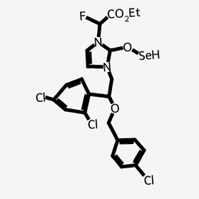 CCOC(=O)C(F)N1C=CN(CC(OCc2ccc(Cl)cc2)c2ccc(Cl)cc2Cl)C1O[SeH]